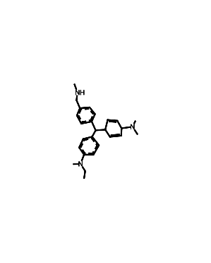 CCN(C)c1ccc(C(c2ccc(CNC)cc2)C2C=CC(N(C)C)C=C2)cc1